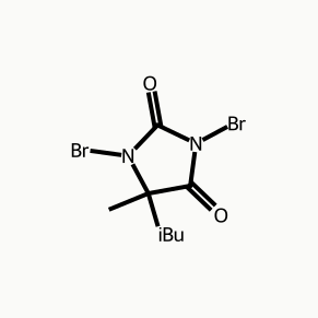 CCC(C)C1(C)C(=O)N(Br)C(=O)N1Br